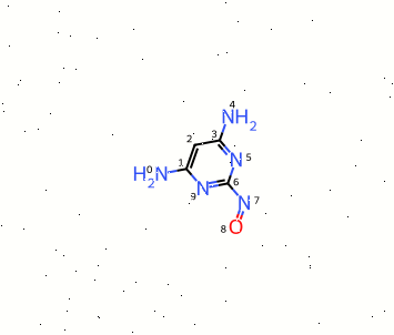 Nc1cc(N)nc(N=O)n1